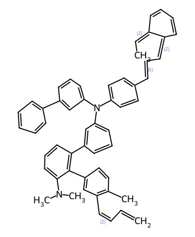 C=C/C=C\c1cc(-c2c(-c3cccc(N(c4ccc(/C=C/C=c5/cccc/c5=C/C)cc4)c4cccc(-c5ccccc5)c4)c3)cccc2N(C)C)ccc1C